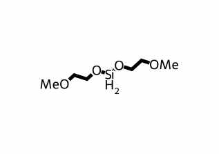 COCCO[SiH2]OCCOC